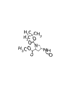 COC(=O)C1CC(NC=O)CN1C(=O)OC(C)(C)C